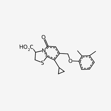 Cc1cccc(OCc2cc(=O)n3c(c2C2CC2)SCC3C(=O)O)c1C